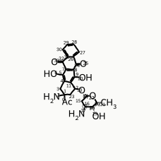 CC(=O)C1(N)Cc2c(O)c3c(c(O)c2C(O[C@H]2C[C@H](N)[C@@H](O)[C@@H](C)O2)C1)C(=O)c1ccccc1C3=O